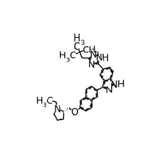 CCN1CCC[C@H]1COc1ccc2cc(-c3n[nH]c4ccc(-c5nc(CC(C)(C)C)n[nH]5)cc34)ccc2c1